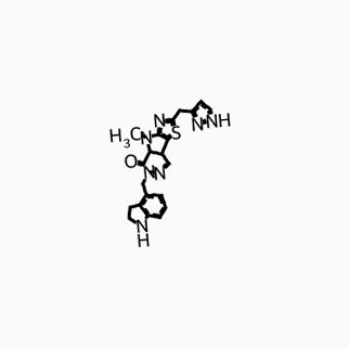 CN1c2nc(Cc3cc[nH]n3)sc2C2C=NN(Cc3cccc4c3CCN4)C(=O)C21